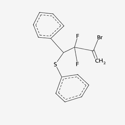 C=C(Br)C(F)(F)C(Sc1ccccc1)c1ccccc1